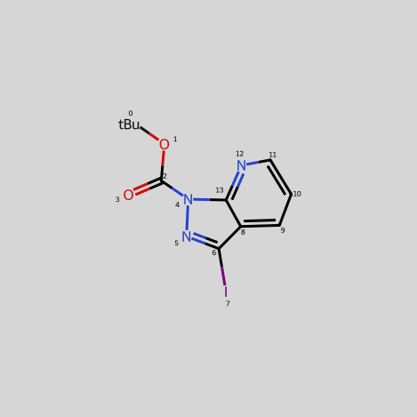 CC(C)(C)OC(=O)n1nc(I)c2cccnc21